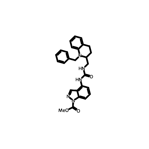 COC(=O)n1ncc2c(NC(=O)NCC3CCc4ccccc4N3Cc3ccccc3)cccc21